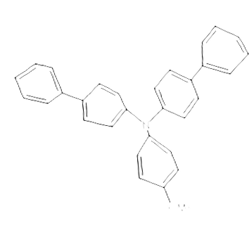 COc1ccc(N(c2ccc(-c3ccccc3)cc2)c2ccc(-c3ccccc3)cc2)cc1